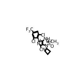 CS(=O)(=O)N(c1c(C#N)nn(-c2c(Cl)cc(C(F)(F)F)cc2Cl)c1N)C1CCC1